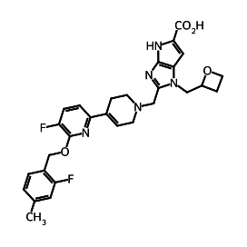 Cc1ccc(COc2nc(C3=CCN(Cc4nc5[nH]c(C(=O)O)cc5n4CC4CCO4)CC3)ccc2F)c(F)c1